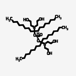 CCCCCCCCC(CCCCCCCC)(O[PH](=O)OC(CCCCCCCC)(CCCCCCCC)N(CCO)CCO)N(CCO)CCO